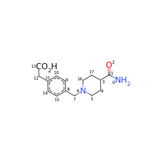 NC(=O)C1CCN(Cc2ccc(CC(=O)O)cc2)CC1